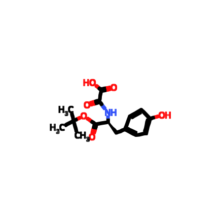 CC(C)(C)OC(=O)[C@H](Cc1ccc(O)cc1)NC(=O)C(=O)O